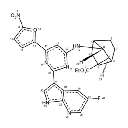 CCOC(=O)[C@@H]1C2CCC(CC2)[C@H]1Nc1cc(-c2ccc([N+](=O)[O-])o2)nc(-c2c[nH]c3ncc(F)cc23)n1